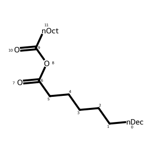 CCCCCCCCCCCCCCCC(=O)OC(=O)CCCCCCCC